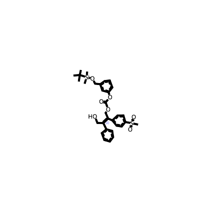 CC(C)(C)[Si](C)(C)OCc1cccc(OC(=O)OC/C(=C(\CO)c2ccccc2)c2ccc(S(C)(=O)=O)cc2)c1